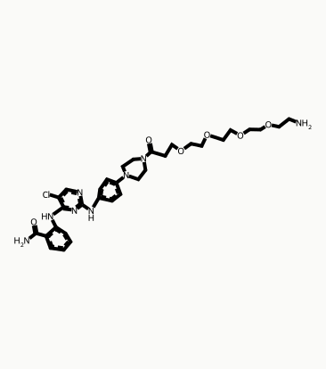 NCCOCCOCCOCCOCCC(=O)N1CCN(c2ccc(Nc3ncc(Cl)c(Nc4ccccc4C(N)=O)n3)cc2)CC1